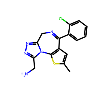 Cc1cc2c(s1)-n1c(CN)nnc1CN=C2c1ccccc1Cl